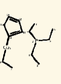 CCP(CC)CC.C[CH2][Cu][C]1=CC=CC1